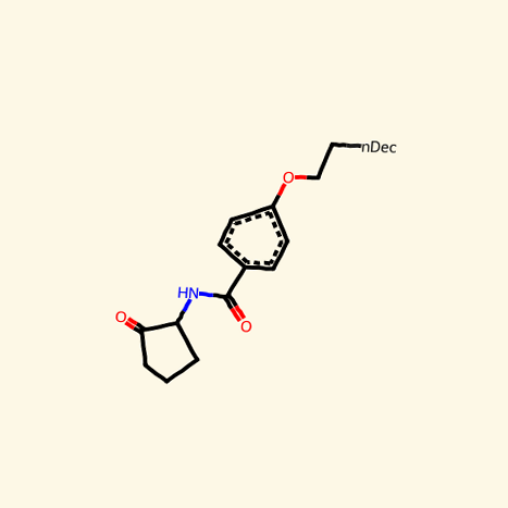 CCCCCCCCCCCCOc1ccc(C(=O)NC2CCCC2=O)cc1